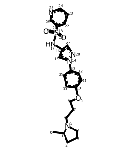 CC1CCCN1CCCOc1ccc(-n2cc(NS(=O)(=O)c3cccnc3)cn2)cc1